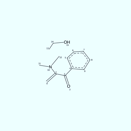 C=C(C(=O)c1ccccc1)N(C)C.CCO